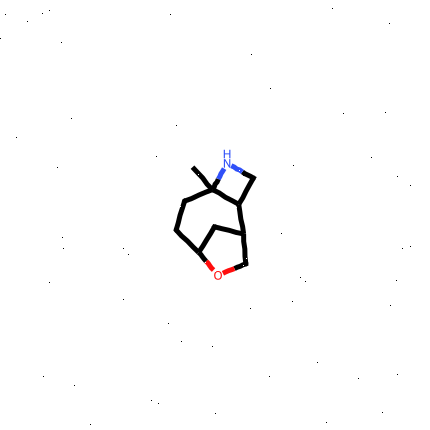 CC12CCC3CC(CO3)C1CN2